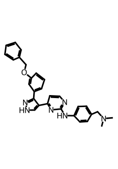 CN(C)Cc1ccc(Nc2nccc(-c3c[nH]nc3-c3cccc(OCc4ccccc4)c3)n2)cc1